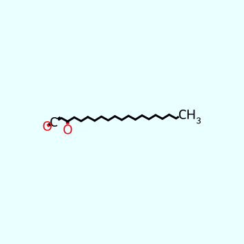 CCCCCCCCCCCCCCCCCC(=O)C=C=O